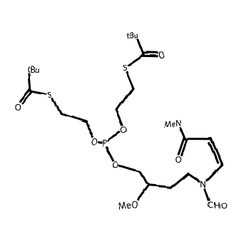 CNC(=O)/C=C\N(C=O)CCC(COP(OCCSC(=O)C(C)(C)C)OCCSC(=O)C(C)(C)C)OC